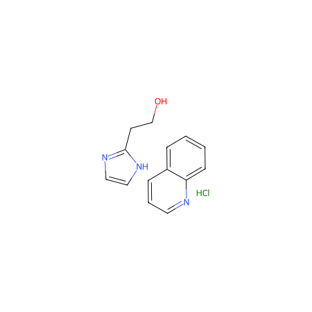 Cl.OCCc1ncc[nH]1.c1ccc2ncccc2c1